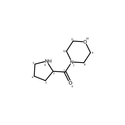 O=C(C1CCCN1)N1CCOCC1